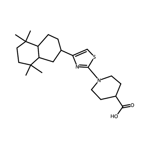 CC1(C)CCC(C)(C)C2CC(c3csc(N4CCC(C(=O)O)CC4)n3)CCC21